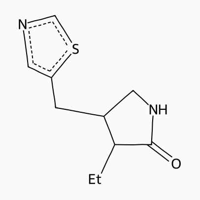 CCC1C(=O)NCC1Cc1cncs1